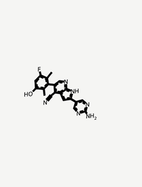 Cc1c(O)cc(F)c(C)c1-c1cnc2[nH]c(-c3cnc(N)nc3)cc2c1C#N